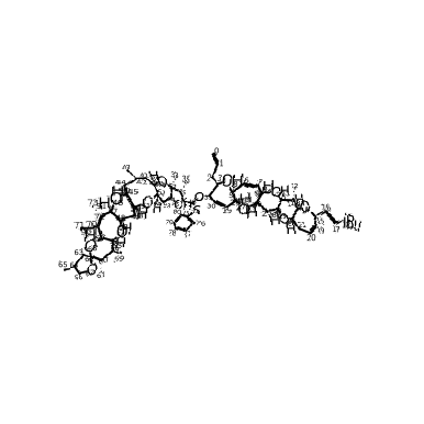 C=CC[C@H]1O[C@H]2C=C[C@H]3O[C@H]4[C@H](C)[C@H]5O[C@@H](/C=C/[C@H](C)CC)C=CC[C@@H]5O[C@@H]4C[C@@H]3O[C@@H]2C=C[C@@H]1OC(C[C@@H](C)[C@]1(C)O[C@@H]2C[C@H](C)C[C@@H]3O[C@H]4[C@H](C[C@H]3O[C@H]2C[C@H]1O)O[C@@H]1[C@@H](C)[C@H](C)[C@@]2(C[C@H](C)CO2)O[C@H]1C(C)[C@@H]4C)Sc1ccccc1